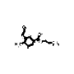 C=CCOC(=O)c1ccc(C)c(N=C=O)c1